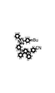 CCCCc1ccc(-c2nc(-c3ccccc3)nc(-c3cccc(-n4c5ccccc5c5c6c7ccccc7n(-c7ccc(C#N)cc7)c6ccc54)c3)n2)cc1